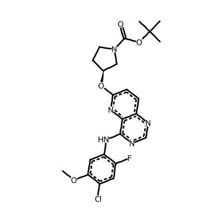 COc1cc(Nc2ncnc3ccc(O[C@H]4CCN(C(=O)OC(C)(C)C)C4)nc23)c(F)cc1Cl